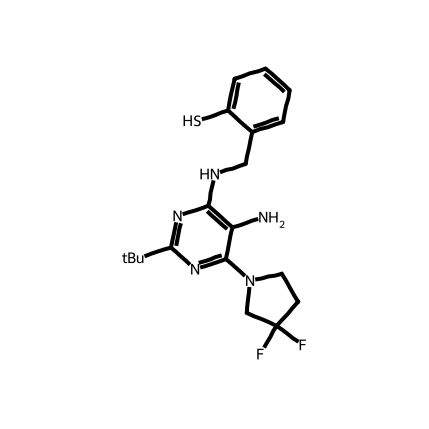 CC(C)(C)c1nc(NCc2ccccc2S)c(N)c(N2CCC(F)(F)C2)n1